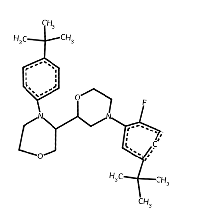 CC(C)(C)c1ccc(N2CCOCC2C2CN(c3cc(C(C)(C)C)ccc3F)CCO2)cc1